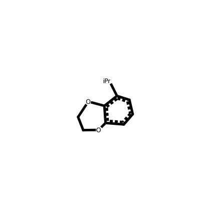 CC(C)c1cccc2c1OCCO2